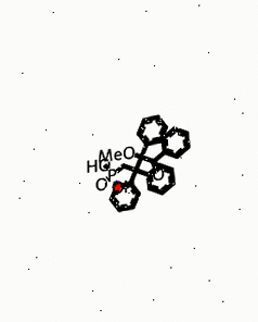 COC(C(=O)c1ccccc1)(c1ccccc1)C(CP(=O)(O)O)(c1ccccc1)c1ccccc1